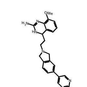 COc1cccc2c1N=C(N)NC2CCN1Cc2ccc(-c3cncnc3)cc2C1